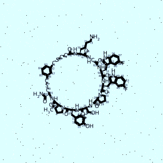 CC[C@@]12CCCN1C(=O)[C@H](Cc1ccc(O)cc1)NC(=O)[C@H]([C@@H](C)O)NC(=O)[C@@H]1CCCN1C(=O)[C@H](Cc1c[nH]c3ccc(F)cc13)NC(=O)[C@H](Cc1c[nH]c3ccc(F)cc13)NC(=O)CNC(=O)[C@H](CCCCN)NC(=O)CCSCc1cccc(c1)CSC[C@@H](C(N)=O)NC2=O